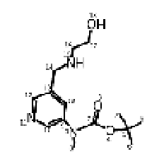 CN(C(=O)OC(C)(C)C)c1cncc(CNCCO)c1